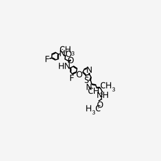 C=N/C(=C\C=C(/C)CNCCOC)c1cc2nccc(Oc3ccc(NC(=O)CC(=O)N(C)c4ccc(F)cc4)cc3F)c2s1